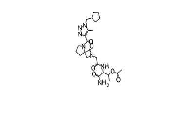 CC(=O)OC(C)C(NC(=O)CN1CC2(CCCN2C(=O)c2nnn(CC3CCCC3)c2C)C1=O)C(N)=O